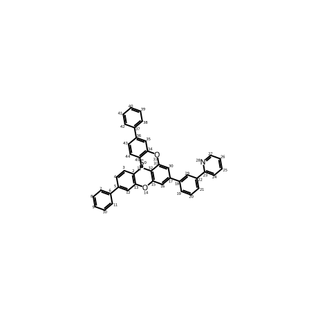 S=P12c3ccc(-c4ccccc4)cc3Oc3cc(-c4cccc(-c5ccccn5)c4)cc(c31)Oc1cc(-c3ccccc3)ccc12